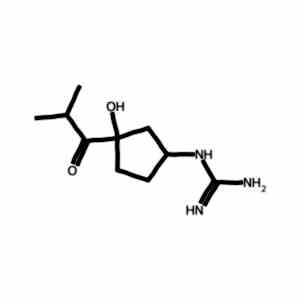 CC(C)C(=O)C1(O)CCC(NC(=N)N)C1